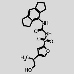 CC(CO)c1coc(S(=O)(=O)NC(=O)Nc2c3c(cc4c2CCC4)CCC3)c1